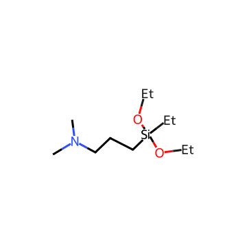 CCO[Si](CC)(CCCN(C)C)OCC